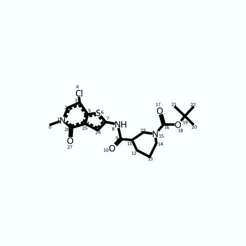 Cn1cc(Cl)c2sc(NC(=O)C3CCCN(C(=O)OC(C)(C)C)C3)cc2c1=O